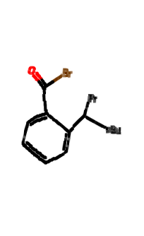 CCCCC(c1ccccc1C(=O)Br)C(C)C